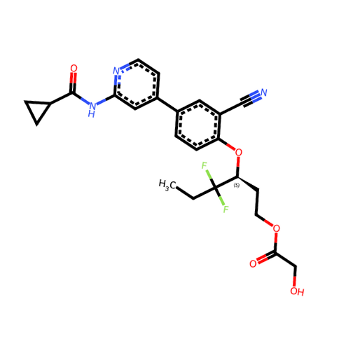 CCC(F)(F)[C@H](CCOC(=O)CO)Oc1ccc(-c2ccnc(NC(=O)C3CC3)c2)cc1C#N